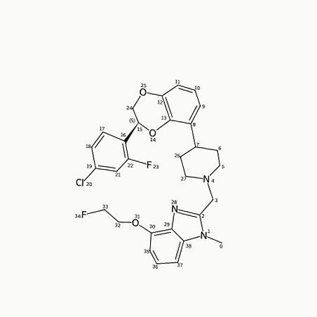 Cn1c(CN2CCC(c3cccc4c3O[C@@H](c3ccc(Cl)cc3F)CO4)CC2)nc2c(OCCF)cccc21